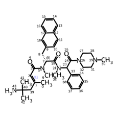 C/C(=C\C(=O)N(C)[C@H](Cc1ccc2ccccc2c1)C(=O)N(C)C(C(=O)N1CCN(C)CC1)c1ccccc1)CC(C)(C)N